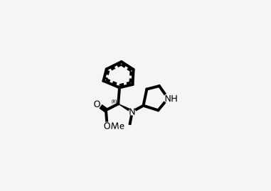 COC(=O)[C@@H](c1ccccc1)N(C)C1CCNC1